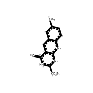 CCOC(=O)c1nc2nc3ccc(SC)cc3cc2c(=O)[nH]1